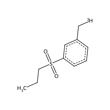 [3H]Cc1cccc(S(=O)(=O)CCC)c1